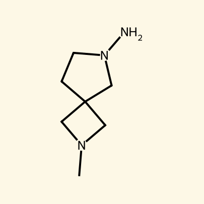 CN1CC2(CCN(N)C2)C1